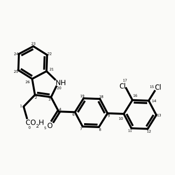 O=C(O)Cc1c(C(=O)c2ccc(-c3cccc(Cl)c3Cl)cc2)[nH]c2ccccc12